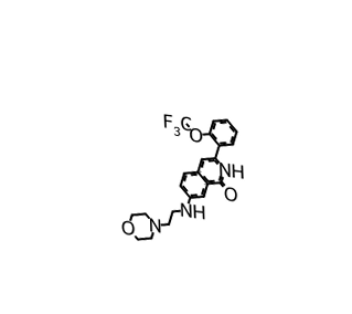 O=c1[nH]c(-c2ccccc2OC(F)(F)F)cc2ccc(NCCN3CCOCC3)cc12